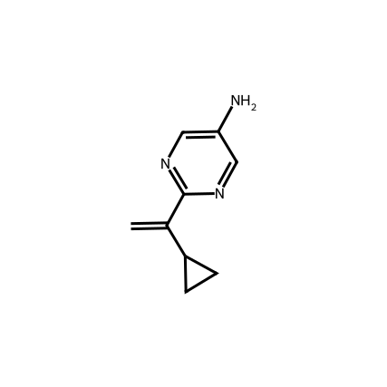 C=C(c1ncc(N)cn1)C1CC1